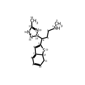 CNCCC(C1=CC2=CC=CCC2S1)n1nnc(C)n1